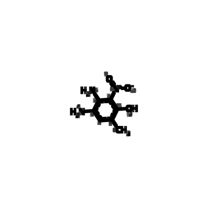 Cc1cc(N)c(N)c([N+](=O)[O-])c1O